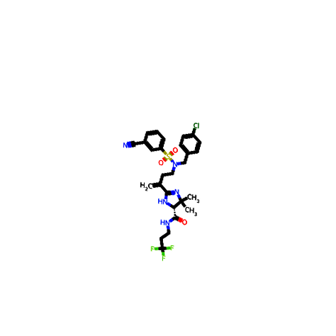 C=C(CCN(Cc1ccc(Cl)cc1)S(=O)(=O)c1cccc(C#N)c1)C1=NC(C)(C)[C@H](C(=O)NCCC(F)(F)F)N1